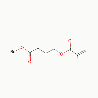 C=C(C)C(=O)OCCCC(=O)OC(C)CC